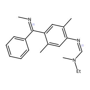 CCN(C)/C=N\c1cc(C)c(/C(=N/C)c2ccccc2)cc1C